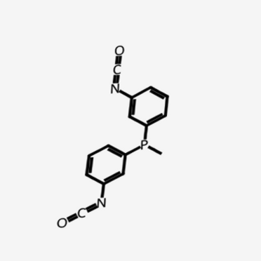 CP(c1cccc(N=C=O)c1)c1cccc(N=C=O)c1